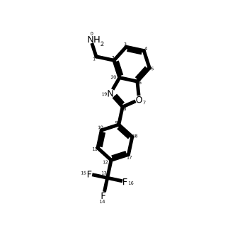 NCc1cccc2oc(-c3ccc(C(F)(F)F)cc3)nc12